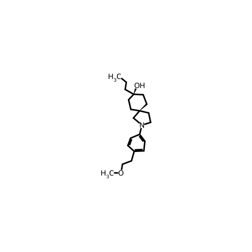 CCC[C@]1(O)CC[C@]2(CCN(c3ccc(CCOC)cc3)C2)CC1